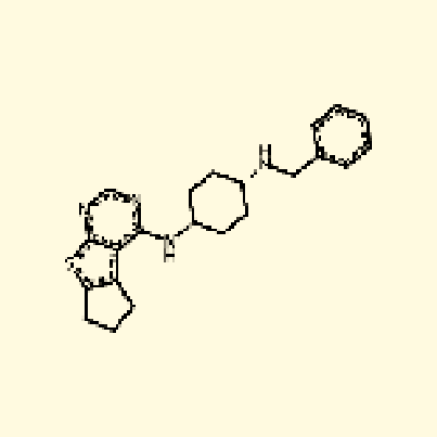 c1ccc(CN[C@H]2CC[C@H](Nc3ncnc4sc5c(c34)CCC5)CC2)cc1